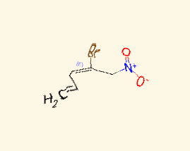 C=C/C=C(/Br)C[N+](=O)[O-]